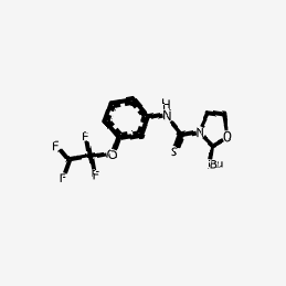 CCC(C)C1OCCN1C(=S)Nc1cccc(OC(F)(F)C(F)F)c1